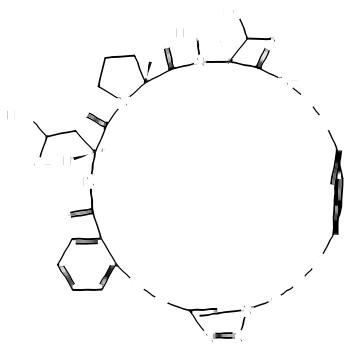 CC(C)C[C@H]1NC(=O)c2ccccc2OCc2cn(nn2)CCOc2ccc(cc2)CCNC(=O)[C@H](C(C)C)N(C)C(=O)[C@H]2CCCN2C1=O